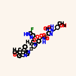 COc1ccc(CN2CCN(C3CC4(CC5CCC(C4)N5c4ccc(C(=O)NS(=O)(=O)c5cnc(NCC6CCC(C)(O)CC6)c([N+](=O)[O-])c5)c(Oc5cc6c(F)c[nH]c6nc5OC)c4)C3)[C@H](c3ccccc3C(C)C)C2)cc1